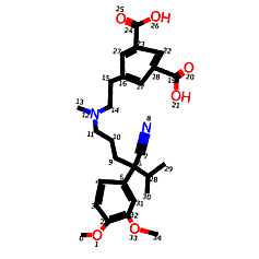 COc1ccc(C(C#N)(CCCN(C)CCc2cc(C(=O)O)cc(C(=O)O)c2)C(C)C)cc1OC